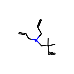 C=CCN(CC=C)CC(C)(C)OC